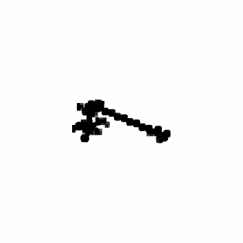 CC(C)C(NC(=O)CCOCCOCCOCCOCCOCCOCCOCCOCCNC(=O)CCN1C(=O)C=CC1=O)C(=O)N[C@@H](C)C(=O)NCCSCC(=O)N(CCCN)[C@@H](c1nc(-c2cc(F)ccc2F)cn1Cc1ccccc1)C(C)(C)C